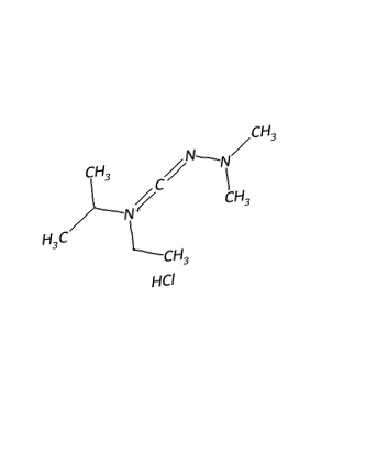 CC[N+](=C=NN(C)C)C(C)C.Cl